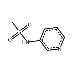 CS(=O)(=O)Nc1[c]ccnc1